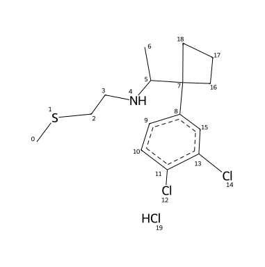 CSCCNC(C)C1(c2ccc(Cl)c(Cl)c2)CCC1.Cl